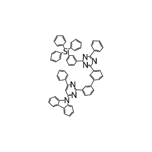 c1ccc(-c2cc(-n3c4ccccc4c4ccccc43)nc(-c3cccc(-c4cccc(-c5nc(-c6ccccc6)nc(-c6cccc([Si](c7ccccc7)(c7ccccc7)c7ccccc7)c6)n5)c4)c3)n2)cc1